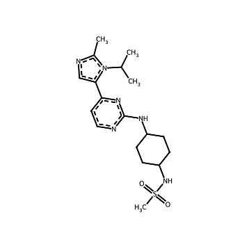 Cc1ncc(-c2ccnc(NC3CCC(NS(C)(=O)=O)CC3)n2)n1C(C)C